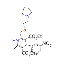 CCOC(=O)C1=C(C)NC(CSCCN2CCCC2)=C(C(=O)OCC)C1c1cccc([N+](=O)[O-])c1